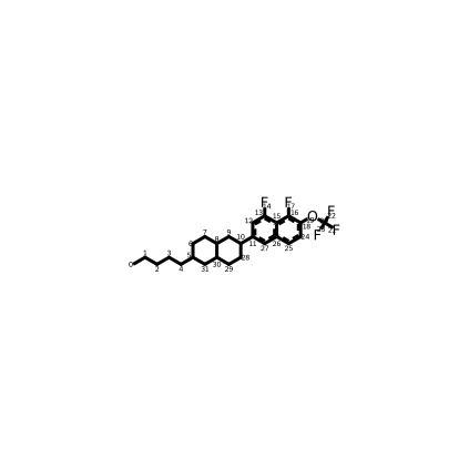 CCCCCC1CCC2CC(c3cc(F)c4c(F)c(OC(F)(F)F)ccc4c3)CCC2C1